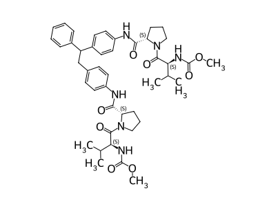 COC(=O)N[C@H](C(=O)N1CCC[C@H]1C(=O)Nc1ccc(CC(c2ccccc2)c2ccc(NC(=O)[C@@H]3CCCN3C(=O)[C@@H](NC(=O)OC)C(C)C)cc2)cc1)C(C)C